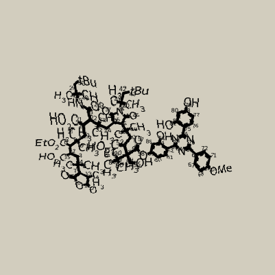 CCOC(=O)C(C(CC(C)(C)C1C(=O)OC(=O)C1C)C(=O)O)C(C)(C)CC(C(=O)O)C(C(=O)NC(C)(C)CC(C)(C)C)C(C)(C)CC1C(=O)N(C(C)(C)CC(C)(C)C)C(=O)C1C(C)(C)CC(C(=O)O)C(CO)(C(=O)Oc1ccc(-c2nc(-c3ccc(OC)cc3)nc(-c3ccc(O)cc3O)n2)c(O)c1)C(C)(C)CC